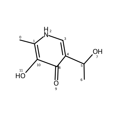 Cc1[nH]cc(C(C)O)c(=O)c1O